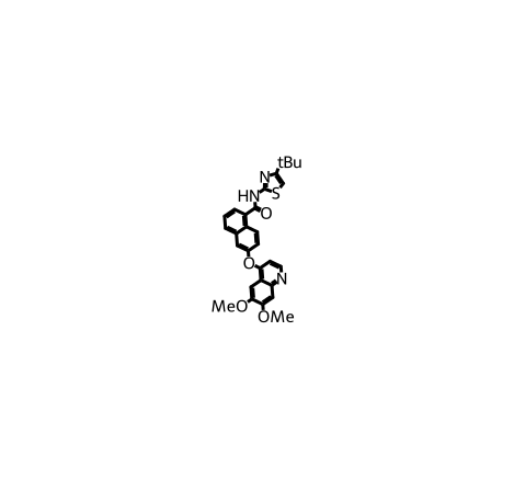 COc1cc2nccc(Oc3ccc4c(C(=O)Nc5nc(C(C)(C)C)cs5)cccc4c3)c2cc1OC